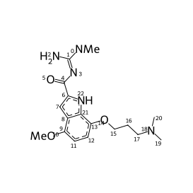 CNC(N)=NC(=O)c1cc2c(OC)ccc(OCCCN(C)C)c2[nH]1